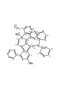 CC(C)(C)c1cc(-c2ccccc2)c2c(c1)=[C]([Zr+2]=[C](c1ccccc1)c1ccccc1)C1=C(C3=CC=CC3)C(c3ccccc3)(C(C)(C)C)C=CC=21.[Cl-].[Cl-]